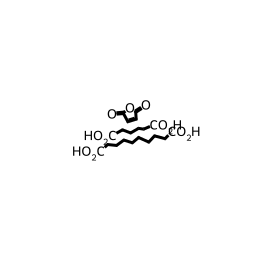 O=C(O)CCCCC(=O)O.O=C(O)CCCCCCCCC(=O)O.O=C1C=CC(=O)O1